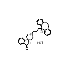 Cl.O=C1OC2(CCN(CCCC3(O)c4ccccc4CCc4ccccc43)CC2)c2ccccc21